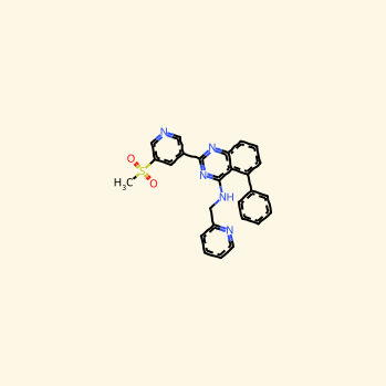 CS(=O)(=O)c1cncc(-c2nc(NCc3ccccn3)c3c(-c4ccccc4)cccc3n2)c1